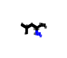 B[C@@H](N)CC(C)C